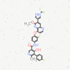 COc1nc2c(Oc3ccc(NC(=O)c4cnc(C)c(-c5ccc(F)cc5)c4O)cc3F)ccnc2cc1-c1cnn(C(F)F)c1